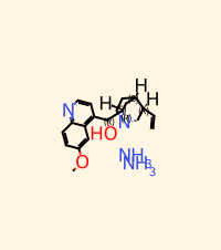 C=C[C@H]1C[N@]2CC[C@H]1C[C@H]2[C@H](O)c1ccnc2ccc(OC)cc12.N.N